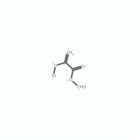 C=C(OCC)C(=O)OC=O